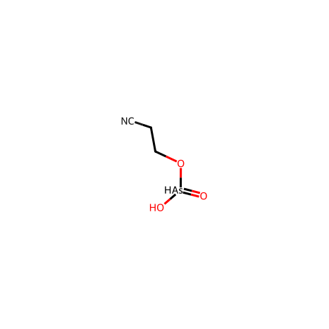 N#CCCO[AsH](=O)O